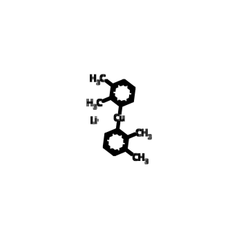 Cc1ccc[c]([Cu][c]2cccc(C)c2C)c1C.[Li]